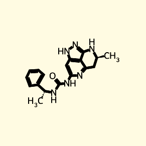 C[C@H]1Cc2nc(NC(=O)N[C@H](C)c3ccccc3)cc3[nH]nc(c23)N1